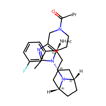 CC(=O)N[C@@H](CCN1[C@@H]2CC[C@H]1C[C@@H](n1c(C)nc3c1CCN(C(=O)C(C)C)C3)C2)c1cccc(F)c1